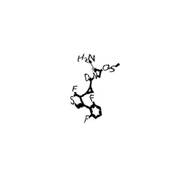 CSOC1CN(C(=O)C2CC2C2C(c3c(F)cccc3F)=CSC2F)[C@@H]1CN